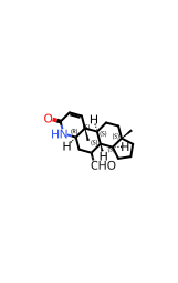 C[C@@]12CCC[C@H]1[C@@H]1C(C=O)C[C@H]3NC(=O)C=C[C@]3(C)[C@H]1CC2